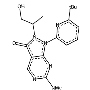 CNc1ncc2c(=O)n(C(C)CO)n(-c3cccc(C(C)(C)C)n3)c2n1